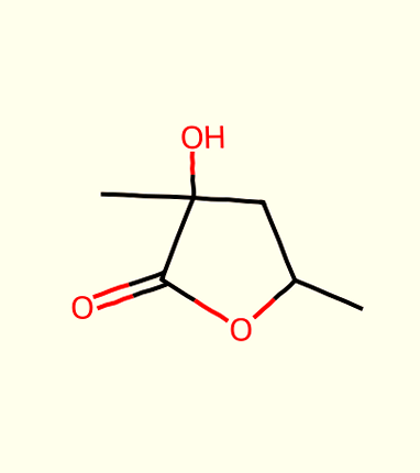 CC1CC(C)(O)C(=O)O1